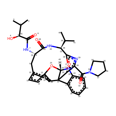 CC(C)[C@H](O)C(=O)N[C@H]1Cc2ccc3c(c2)C2(c4ccccc4N[C@H]2O3)c2oc(nc2C(=O)N2CCCC2)[C@H](C(C)C)NC1=O